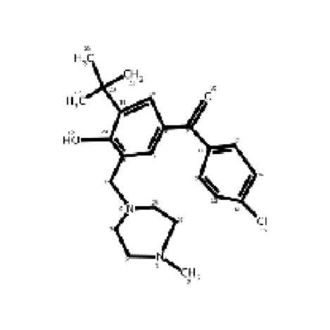 CN1CCN(Cc2cc(C(=O)c3ccc(Cl)cc3)cc(C(C)(C)C)c2O)CC1